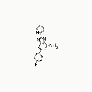 Nc1cc(-c2ccc(F)cc2)cc2nc(-c3ccccn3)nn12